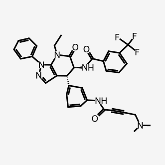 CCN1C(=O)[C@@H](NC(=O)c2cccc(C(F)(F)F)c2)[C@H](c2cccc(NC(=O)C#CCN(C)C)c2)c2cnn(-c3ccccc3)c21